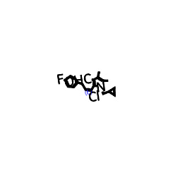 Cc1c(C=O)c(/C(Cl)=C\Cc2ccc(F)cc2)n(CC2CC2)c1C